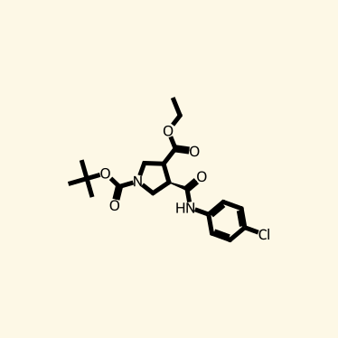 CCOC(=O)C1CN(C(=O)OC(C)(C)C)C[C@@H]1C(=O)Nc1ccc(Cl)cc1